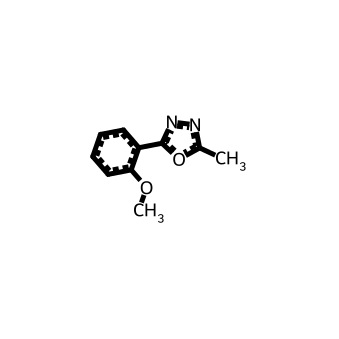 COc1ccccc1-c1nnc(C)o1